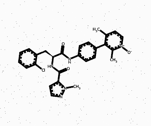 Cc1cc[n+]([O-])c(C)c1-c1ccc(NC(=O)[C@H](Cc2ccccc2Cl)NC(=O)c2ccnn2C)cc1